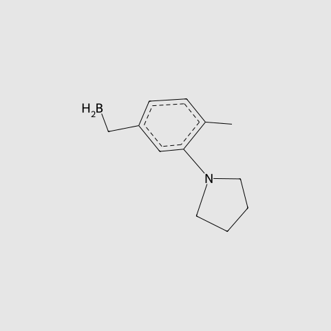 BCc1ccc(C)c(N2CCCC2)c1